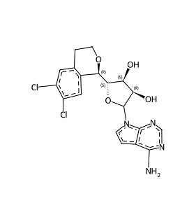 Nc1ncnc2c1ccn2C1O[C@H]([C@@H]2OCCc3cc(Cl)c(Cl)cc32)[C@@H](O)[C@H]1O